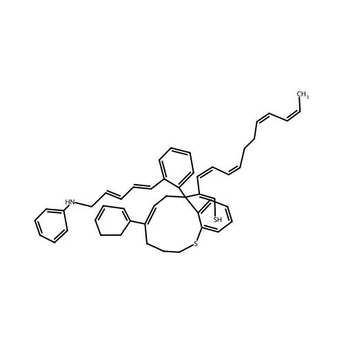 C/C=C\C=C/CC\C=C/C=C\C(=C\S)C1(c2ccccc2/C=C/C=C/CNc2ccccc2)C/C=C(/C2=CC=CCC2)CCCSc2ccccc21